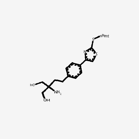 CCCCCSc1nc(-c2ccc(CCC(N)(CO)CO)cc2)cs1